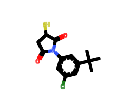 CC(C)(C)c1cc(Cl)cc(N2C(=O)CC(S)C2=O)c1